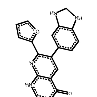 O=c1cc[nH]c2nc(-c3ccco3)c(-c3ccc4c(c3)NCN4)cc12